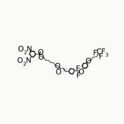 O=C(/C=C/c1ccc(C(F)(F)Oc2ccc(OCCCC(F)(F)C(F)(F)F)cc2)cc1)OCCCCCCOC(=O)c1cc([N+](=O)[O-])cc([N+](=O)[O-])c1